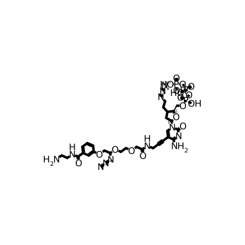 [N-]=[N+]=NCCC1C[C@H](n2cc(C#CCNC(=O)COCCOC(COc3cccc(C(=O)NCCN)c3)N=[N+]=[N-])c(N)nc2=O)O[C@@H]1COP(=O)(O)OP(=O)(O)OP(=O)(O)O